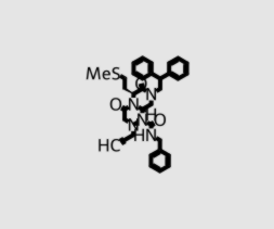 C#CCN1CC(=O)N2[C@@H](CCSC)C(=O)N(CC(c3ccccc3)c3ccccc3)C[C@@H]2N1C(=O)NCc1ccccc1